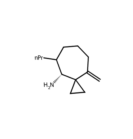 C=C1CCCC(CCC)[C@@H](N)C12CC2